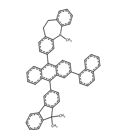 CN1c2ccccc2CCc2ccc(-c3c4ccccc4c(-c4ccc5c(c4)-c4ccccc4C5(C)C)c4cc(-c5cccc6ccccc56)ccc34)cc21